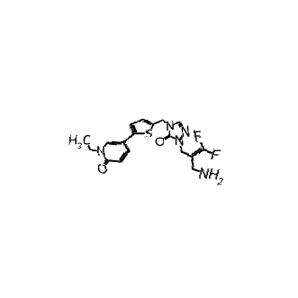 CCn1cc(-c2ccc(Cn3cnn(CC(CN)=C(F)F)c3=O)s2)ccc1=O